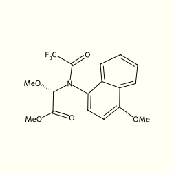 COC(=O)[C@H](OC)N(C(=O)C(F)(F)F)c1ccc(OC)c2ccccc12